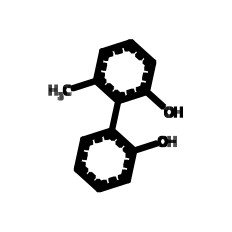 Cc1cccc(O)c1-c1ccccc1O